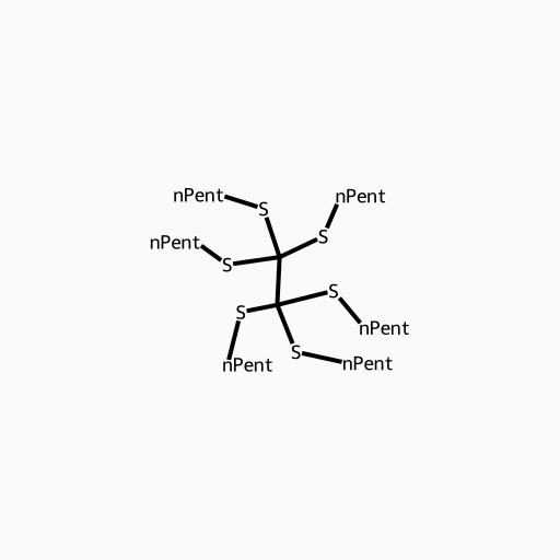 CCCCCSC(SCCCCC)(SCCCCC)C(SCCCCC)(SCCCCC)SCCCCC